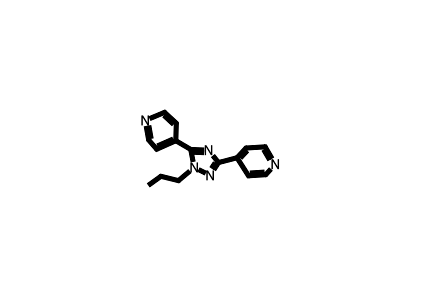 CCCn1nc(-c2ccncc2)nc1-c1ccncc1